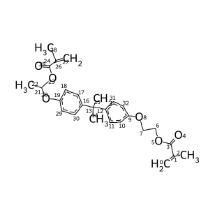 C=C(C)C(=O)OCCOc1ccc(C(C)(C)c2ccc(OC(C)OC(=O)C(=C)C)cc2)cc1